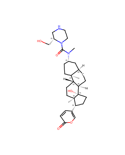 CN(C(=O)N1CCNC[C@H]1CO)[C@H]1CC[C@@]2(C)[C@H](CC[C@@H]3[C@@H]2CC[C@]2(C)[C@@H](c4ccc(=O)oc4)CC[C@]32O)C1